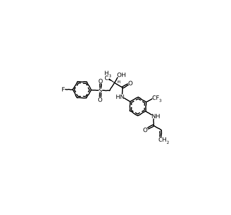 C=CC(=O)Nc1ccc(NC(=O)[C@@](C)(O)CS(=O)(=O)c2ccc(F)cc2)cc1C(F)(F)F